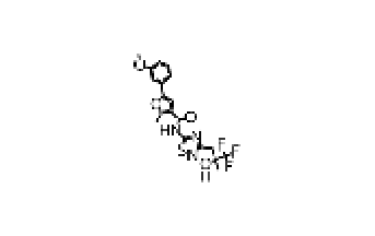 COc1cccc(-c2cc(C(=O)Nc3nc(CC(C)(O)C(F)(F)F)ns3)c(C)o2)c1